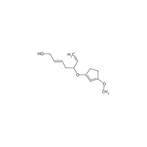 C=CC(C/C=C/CO)OC1=C=C(OC)CC1